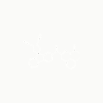 CC(=O)O/N=C(\Cc1cccc(C)c1)C(=O)c1ccc2c(c1)C(CCC#N)(CCC#N)c1ccccc1-2